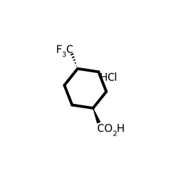 Cl.O=C(O)[C@H]1CC[C@H](C(F)(F)F)CC1